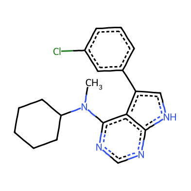 CN(c1ncnc2[nH]cc(-c3cccc(Cl)c3)c12)C1CCCCC1